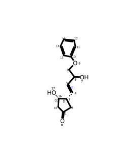 O=C1C[C@@H](/C=C/C(O)COc2ccccc2)[C@@H](O)C1